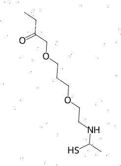 CCC(=O)COCCCOCCNC(C)S